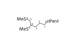 CCCCCCCCC(CSC)SC